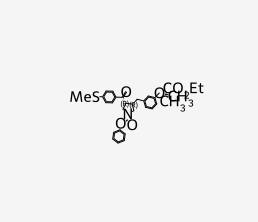 CCOC(=O)C(C)(C)Oc1cccc(C[C@H]2CN(C(=O)Oc3ccccc3)C[C@@H]2C(=O)c2ccc(SC)cc2)c1